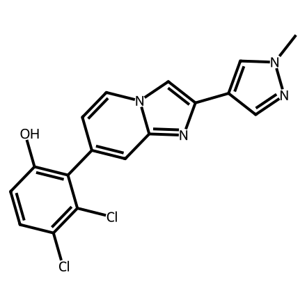 Cn1cc(-c2cn3ccc(-c4c(O)ccc(Cl)c4Cl)cc3n2)cn1